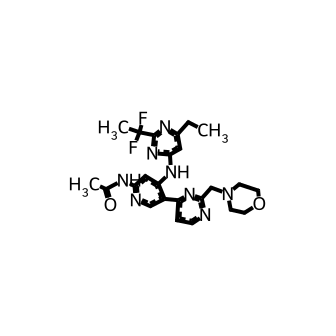 CCc1cc(Nc2cc(NC(C)=O)ncc2-c2ccnc(CN3CCOCC3)n2)nc(C(C)(F)F)n1